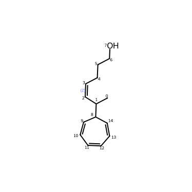 CC(/C=C\CCCO)C1C=CC=CC=C1